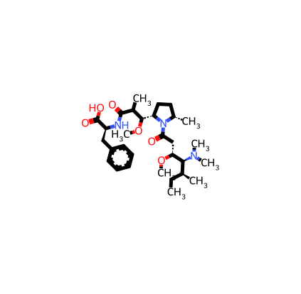 CC[C@H](C)[C@@H]([C@@H](CC(=O)N1[C@@H](C)CC[C@H]1C(OC)C(C)C(=O)N[C@@H](Cc1ccccc1)C(=O)O)OC)N(C)C